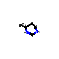 CC(C)C1CC=NC=N1